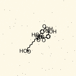 O=C(O)CCCCCCCC(=O)O.O=C(O)c1ccc(C(=O)O)cc1.O=C(O)c1cccc(C(=O)O)c1